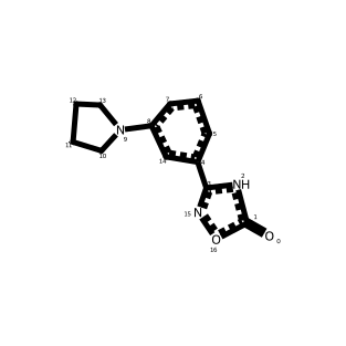 O=c1[nH]c(-c2cccc(N3C[CH]CC3)c2)no1